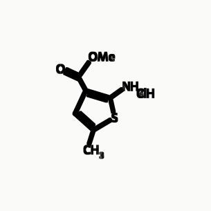 COC(=O)c1cc(C)sc1N.Cl